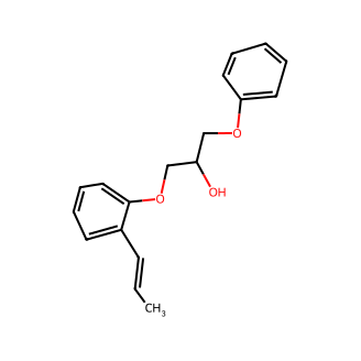 CC=Cc1ccccc1OCC(O)COc1ccccc1